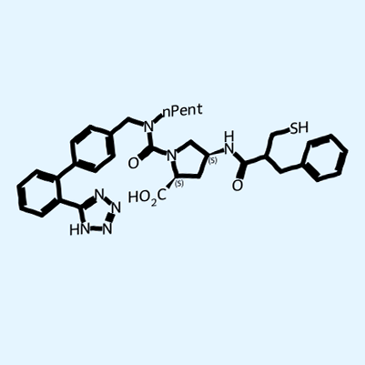 CCCCCN(Cc1ccc(-c2ccccc2-c2nnn[nH]2)cc1)C(=O)N1C[C@@H](NC(=O)C(CS)Cc2ccccc2)C[C@H]1C(=O)O